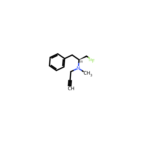 C#CCN(C)[C@H](C[18F])Cc1ccccc1